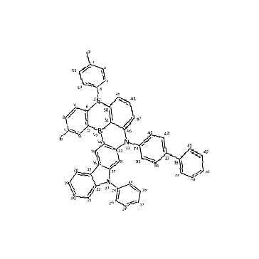 Cc1ccc(N2c3ccc(C)cc3B3c4cc5c6ccccc6n(-c6ccccc6)c5cc4N(c4ccc(-c5ccccc5)cc4)c4cccc2c43)cc1